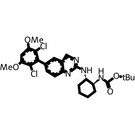 COc1cc(OC)c(Cl)c(-c2ccc3nc(N[C@H]4CCCC[C@@H]4NC(=O)OC(C)(C)C)ncc3c2)c1Cl